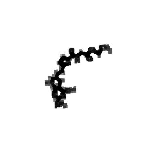 CCOC(=O)CNC(=O)c1ccc(CCC2CNc3nc(N)nc(O)c3C2)s1